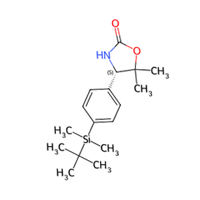 CC1(C)OC(=O)N[C@H]1c1ccc([Si](C)(C)C(C)(C)C)cc1